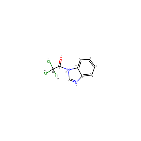 O=C(n1cnc2ccccc21)C(Cl)(Cl)Cl